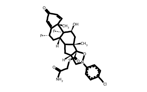 C[C@]12C=CC(=O)C=C1[C@@H](F)C[C@H]1C3C[C@H]4CN(c5ccc(Cl)cc5)O[C@@]4(C(=O)SCC(N)=O)[C@@]3(C)C[C@H](O)[C@@]12F